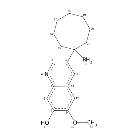 BC1(c2cnc3cc(O)c(OC)cc3c2)CCCCCCC1